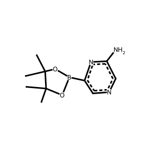 CC1(C)OB(c2cncc(N)n2)OC1(C)C